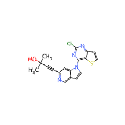 CC(C)(O)C#Cc1cc2c(ccn2-c2nc(Cl)nc3ccsc23)cn1